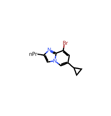 CCCc1cn2cc(C3CC3)cc(Br)c2n1